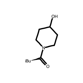 CC[C@H](C)C(=O)N1CCC(O)CC1